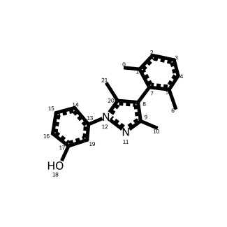 Cc1cccc(C)c1-c1c(C)nn(-c2cccc(O)c2)c1C